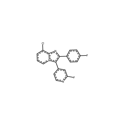 Fc1ccc(-c2nc3c(Cl)cccn3c2-c2ccnc(F)c2)cc1